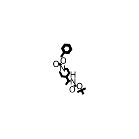 CC(NC(=O)OC(C)(C)C)C1CCN(C(=O)OCc2ccccc2)CC1